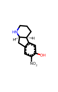 O=[N+]([O-])c1cc2c(cc1O)[C@@H]1CCCN[C@@H]1C2